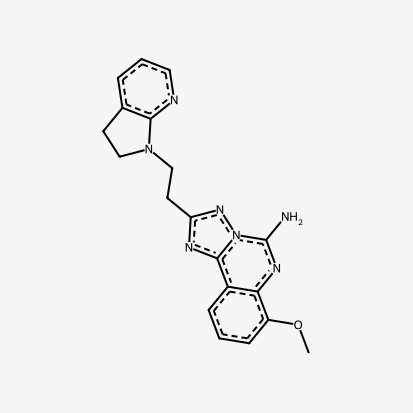 COc1cccc2c1nc(N)n1nc(CCN3CCc4cccnc43)nc21